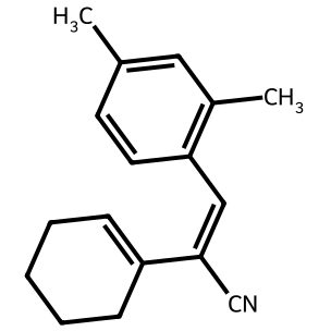 Cc1ccc(C=C(C#N)C2=CCCCC2)c(C)c1